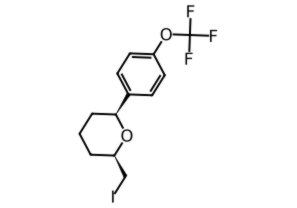 FC(F)(F)Oc1ccc([C@@H]2CCC[C@H](CI)O2)cc1